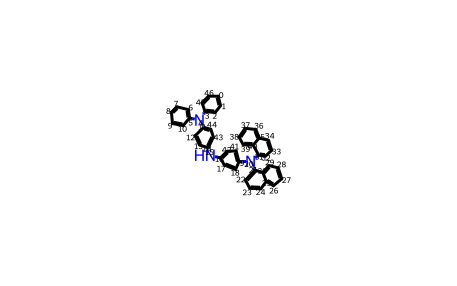 c1ccc(N(c2ccccc2)c2ccc(Nc3ccc(N(c4cccc5ccccc45)c4cccc5ccccc45)cc3)cc2)cc1